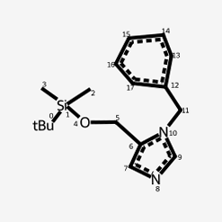 CC(C)(C)[Si](C)(C)OCc1cncn1Cc1ccccc1